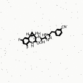 N#Cc1cccc(Cc2nnc(C(O)N[C@@H]3C(=O)Nc4c(F)cc(F)cc4[C@@H]4C[C@H]34)[nH]2)c1